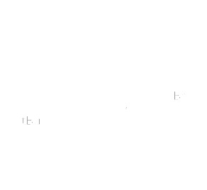 CC(C)(C)C1CCc2c(Br)cccc21